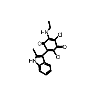 CCNC1=C(Cl)C(=O)C(Cl)=C(c2c(C)[nH]c3ccccc23)C1=O